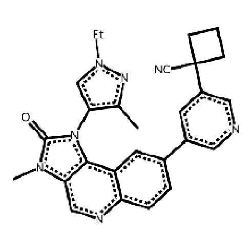 CCn1cc(-n2c(=O)n(C)c3cnc4ccc(-c5cncc(C6(C#N)CCC6)c5)cc4c32)c(C)n1